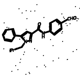 CC(C)Cn1nc(C(=O)Nc2ccc(C=O)cc2)cc1-c1ccccc1